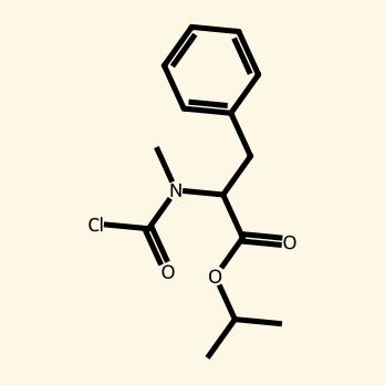 CC(C)OC(=O)C(Cc1ccccc1)N(C)C(=O)Cl